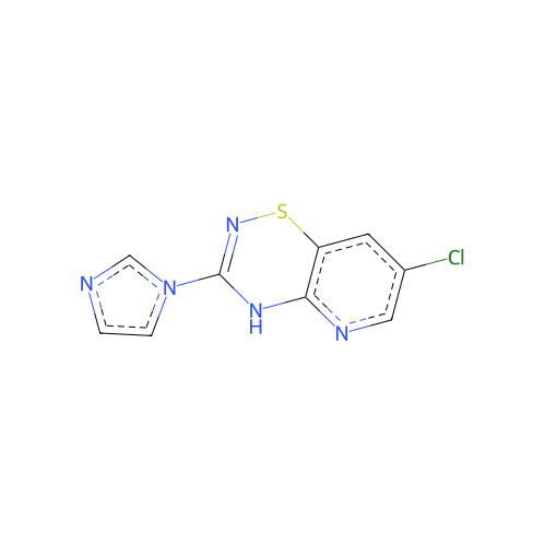 Clc1cnc2c(c1)SN=C(n1ccnc1)N2